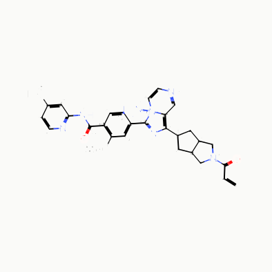 C=CC(=O)N1CC2CC(C3=C4C=NC=C[N+]4(N)C(c4ccc(C(=O)Nc5cc(C(F)(F)F)ccn5)c(OC)c4)=N3)CC2C1